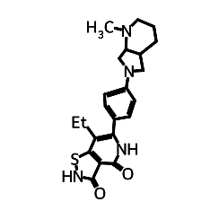 CCc1c(-c2ccc(N3CC4CCCN(C)C4C3)cc2)[nH]c(=O)c2c(=O)[nH]sc12